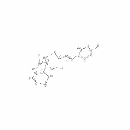 Cc1ccc(/C=C/C2CCC(c3ccccc3)(N(C)C)CC2)cc1